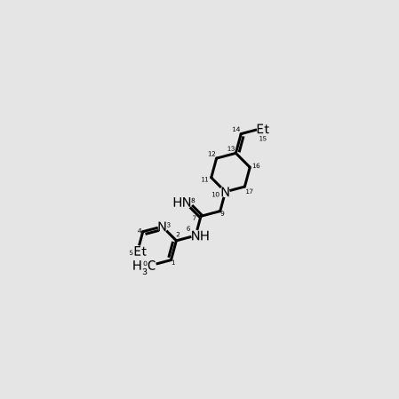 C/C=C(\N=C/CC)NC(=N)CN1CCC(=CCC)CC1